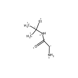 CCC(C)(C)NC(=O)CN